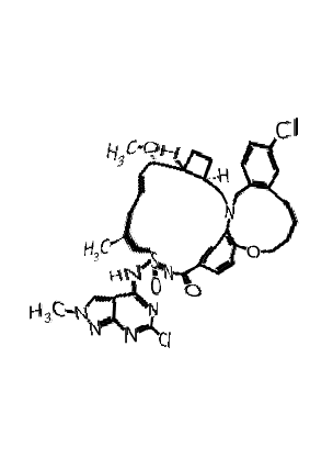 CO[C@H]1/C=C/C[C@H](C)CS(=O)(Nc2nc(Cl)nc3nn(C)cc23)=NC(=O)c2ccc3c(c2)N(Cc2ccc(Cl)cc2CCCCO3)C[C@@H]2CC[C@H]21